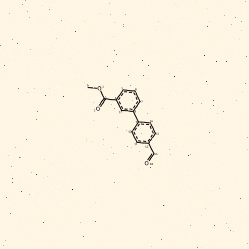 COC(=O)c1cccc(-c2ccc(C=O)cc2)c1